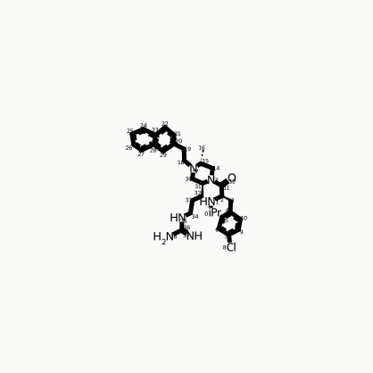 CC(C)N[C@H](Cc1ccc(Cl)cc1)C(=O)N1C[C@@H](C)N(CCc2ccc3ccccc3c2)C[C@@H]1CCCNC(=N)N